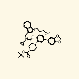 COCCCn1cc(CN(C(=O)[C@H]2CN(C(=O)OC(C)(C)C)CC[C@@H]2c2cccc(-c3ccc4c(c3)OCO4)c2)C2CC2)c2ccccc21